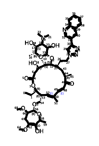 CC[C@H]1OC(=O)C[C@@H](O)[C@H](C)[C@@H](O[C@@H]2O[C@H](C)[C@@H](O)C(N(C)C)C2O)[C@@H](CCn2cc(-c3cnc4ccccc4c3)nn2)C[C@@H](C)C(=O)/C=C/C(C)=C/[C@@H]1CO[C@@H]1OC(C)C(O)=C(OC)CC1OC